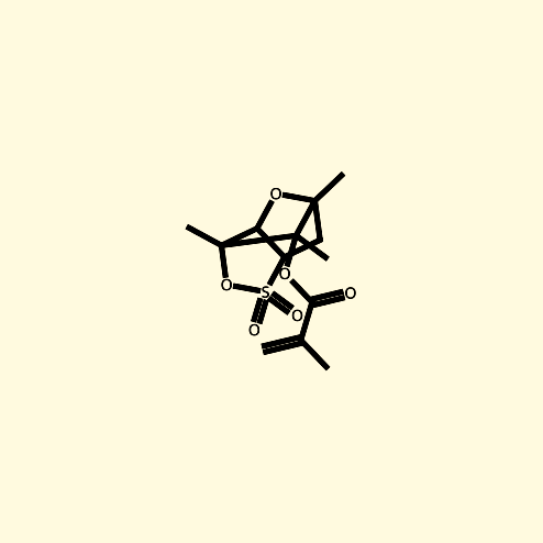 C=C(C)C(=O)OC1(C)C2(C)CC3C(O2)C1(C)OS3(=O)=O